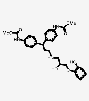 COC(=O)Nc1ccc(C(CCNCC(O)COc2ccccc2O)c2ccc(NC(=O)OC)cc2)cc1